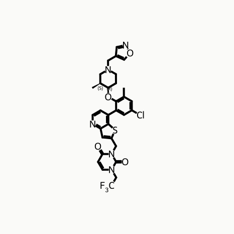 Cc1cc(Cl)cc(-c2ccnc3cc(Cn4c(=O)ccn(CC(F)(F)F)c4=O)sc23)c1O[C@@H]1CCN(Cc2cnoc2)C[C@@H]1C